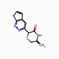 C=C1CSC(c2cc3c(nn2)CC=C3)C(=O)N1